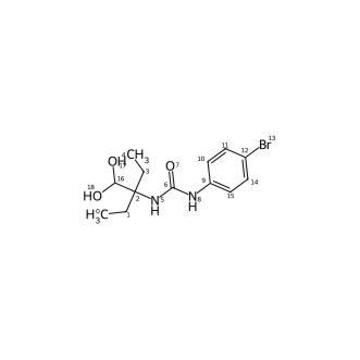 CCC(CC)(NC(=O)Nc1ccc(Br)cc1)C(O)O